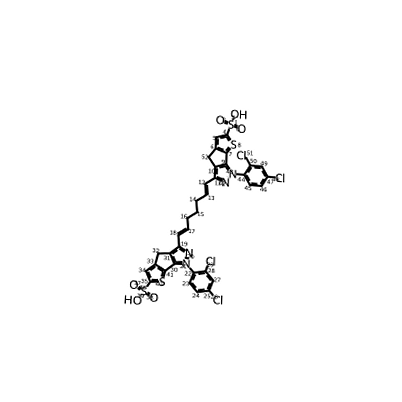 O=S(=O)(O)c1cc2c(s1)-c1c(c(/C=C/CCC/C=C/c3nn(-c4ccc(Cl)cc4Cl)c4c3Cc3cc(S(=O)(=O)O)sc3-4)nn1-c1ccc(Cl)cc1Cl)C2